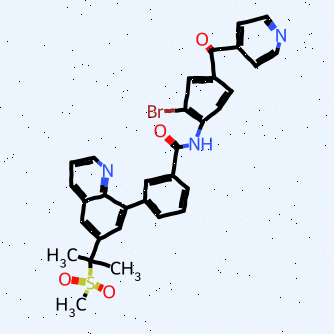 CC(C)(c1cc(-c2cccc(C(=O)Nc3ccc(C(=O)c4ccncc4)cc3Br)c2)c2ncccc2c1)S(C)(=O)=O